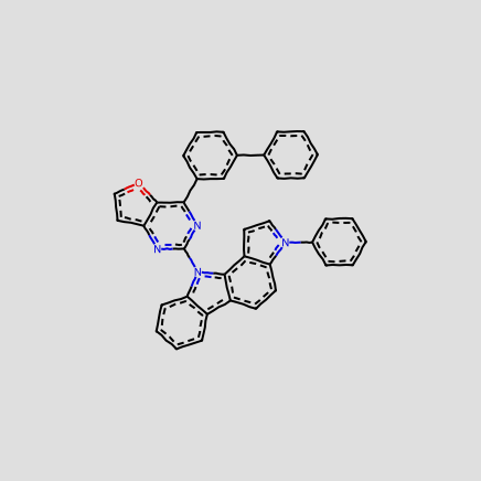 c1ccc(-c2cccc(-c3nc(-n4c5ccccc5c5ccc6c(ccn6-c6ccccc6)c54)nc4ccoc34)c2)cc1